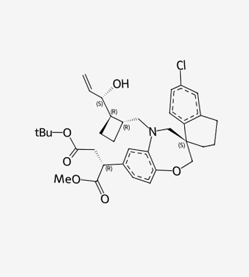 C=C[C@H](O)[C@@H]1CC[C@H]1CN1C[C@@]2(CCCc3cc(Cl)ccc32)COc2ccc([C@@H](CC(=O)OC(C)(C)C)C(=O)OC)cc21